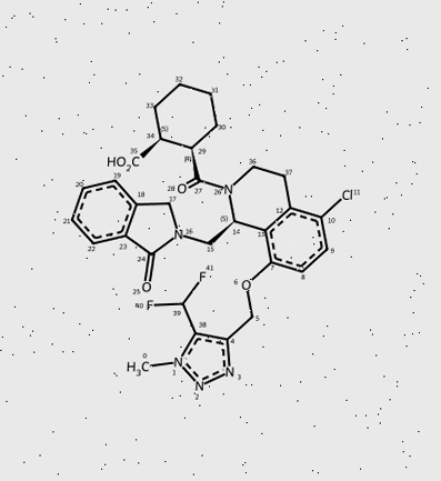 Cn1nnc(COc2ccc(Cl)c3c2[C@@H](CN2Cc4ccccc4C2=O)N(C(=O)[C@@H]2CCCC[C@@H]2C(=O)O)CC3)c1C(F)F